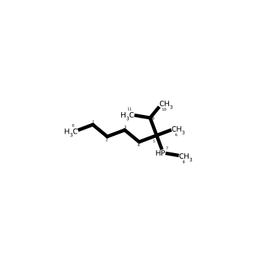 CCCCCC(C)(PC)C(C)C